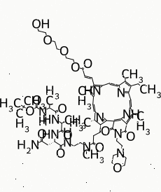 CCC1=C(C)c2cc3[nH]c(cc4nc(c5c6[nH]c(cc1n2)c(C)c6C(=O)N(CCN1CCOCC1)C5=O)[C@@H](CCC(=O)N(C)CCNC(=O)[C@H](CC(N)=O)NC(=O)[C@H](C)NC(=O)[C@H](C)NC(=O)OC(C)(C)C)[C@@H]4C)c(C)c3/C=C/C(=O)OCCOCCOCCO